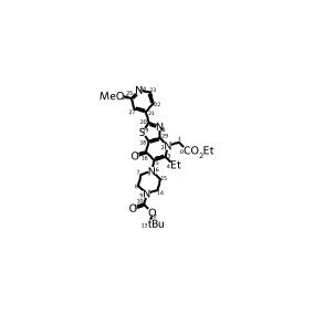 CCOC(=O)Cn1c(CC)c(N2CCN(C(=O)OC(C)(C)C)CC2)c(=O)c2sc(-c3ccnc(OC)c3)nc21